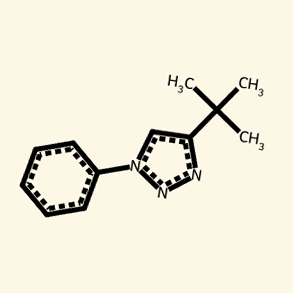 CC(C)(C)c1cn(-c2ccccc2)nn1